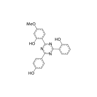 COc1ccc(-c2nc(-c3ccc(O)cc3)nc(-c3ccccc3O)n2)c(O)c1